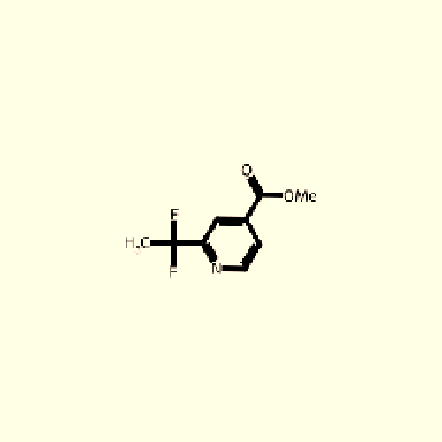 COC(=O)c1ccnc(C(C)(F)F)c1